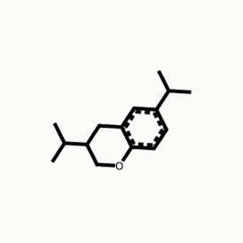 CC(C)c1ccc2c(c1)CC(C(C)C)CO2